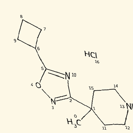 CC1(c2noc(C3CCC3)n2)CCNCC1.Cl